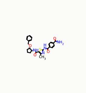 Cc1nc(NC(=O)c2ccc(C(N)=O)cc2)sc1C(=O)N[C@H]1CCC[C@@H]1OCc1ccccc1